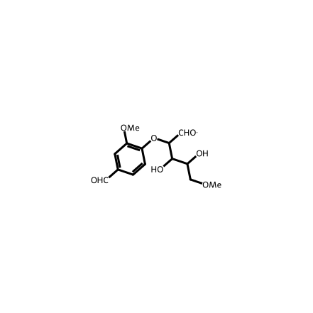 COCC(O)C(O)C([C]=O)Oc1ccc(C=O)cc1OC